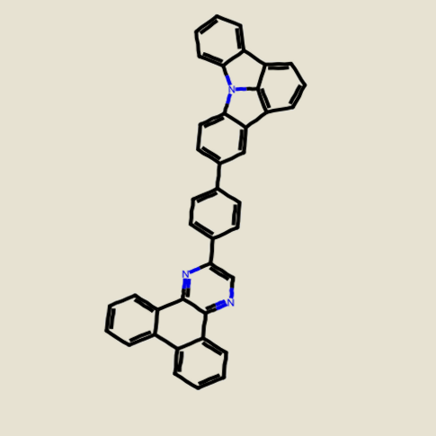 c1ccc2c(c1)c1ccccc1c1nc(-c3ccc(-c4ccc5c(c4)c4cccc6c7ccccc7n5c64)cc3)cnc21